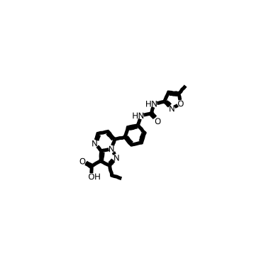 CCc1nn2c(-c3cccc(NC(=O)Nc4cc(C)on4)c3)ccnc2c1C(=O)O